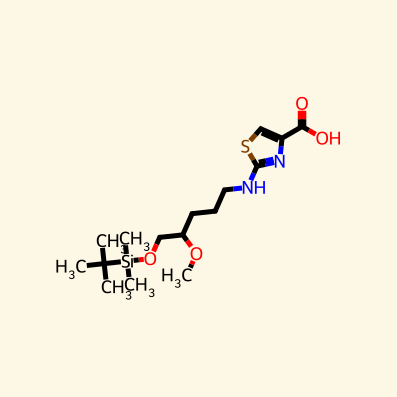 COC(CCCNc1nc(C(=O)O)cs1)CO[Si](C)(C)C(C)(C)C